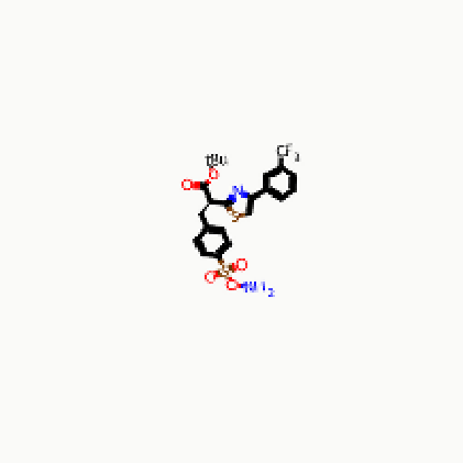 CC(C)(C)OC(=O)[C@H](Cc1ccc(S(=O)(=O)ON)cc1)c1nc(-c2cccc(C(F)(F)F)c2)cs1